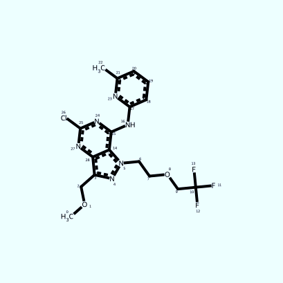 COCc1nn(CCOCC(F)(F)F)c2c(Nc3cccc(C)n3)nc(Cl)nc12